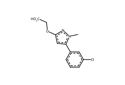 Cn1nc(OCC(=O)O)cc1-c1cccc(Cl)c1